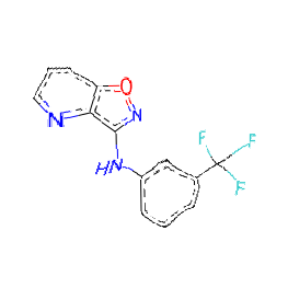 FC(F)(F)c1cccc(Nc2noc3cccnc23)c1